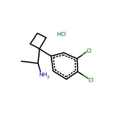 CC(N)C1(c2ccc(Cl)c(Cl)c2)CCC1.Cl